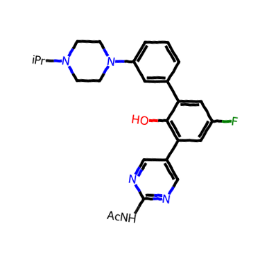 CC(=O)Nc1ncc(-c2cc(F)cc(-c3cccc(N4CCN(C(C)C)CC4)c3)c2O)cn1